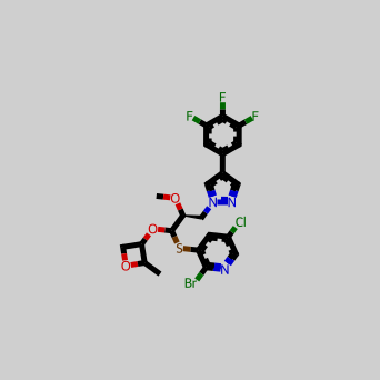 CO[C@@H](Cn1cc(-c2cc(F)c(F)c(F)c2)cn1)C(OC1COC1C)Sc1cc(Cl)cnc1Br